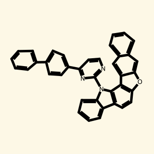 c1ccc(-c2ccc(-c3ccnc(-n4c5ccccc5c5ccc6oc7cc8ccccc8cc7c6c54)n3)cc2)cc1